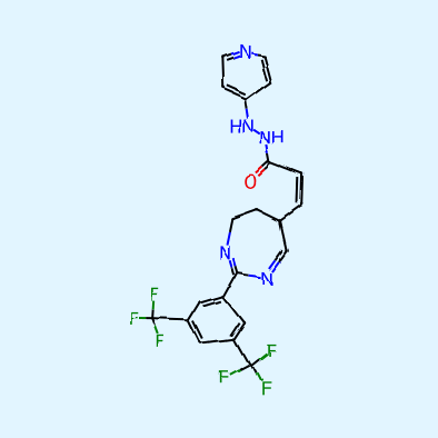 O=C(/C=C\C1C=NC(c2cc(C(F)(F)F)cc(C(F)(F)F)c2)=NCC1)NNc1ccncc1